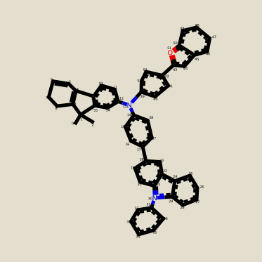 CC1(C)C2=C(C=CCC2)c2ccc(N(c3ccc(-c4ccc5c(c4)c4ccccc4n5-c4ccccc4)cc3)c3ccc(-c4cc5ccccc5o4)cc3)cc21